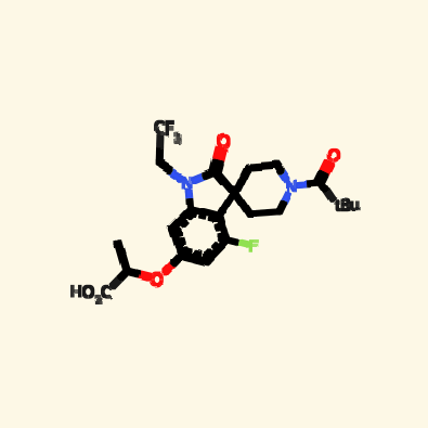 CC(Oc1cc(F)c2c(c1)N(CC(F)(F)F)C(=O)C21CCN(C(=O)C(C)(C)C)CC1)C(=O)O